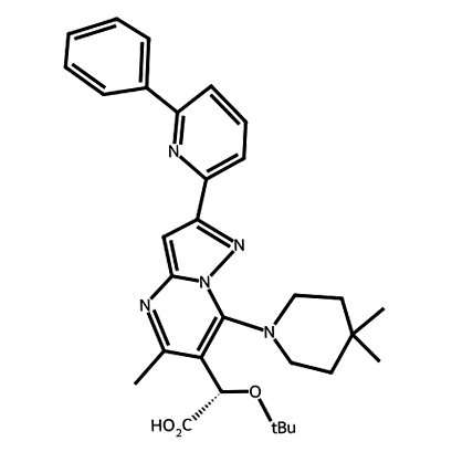 Cc1nc2cc(-c3cccc(-c4ccccc4)n3)nn2c(N2CCC(C)(C)CC2)c1[C@H](OC(C)(C)C)C(=O)O